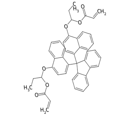 C=CC(=O)OC(CC)Oc1ccc(C2(c3ccc(OC(CC)OC(=O)C=C)c4ccccc34)c3ccccc3-c3ccccc32)c2ccccc12